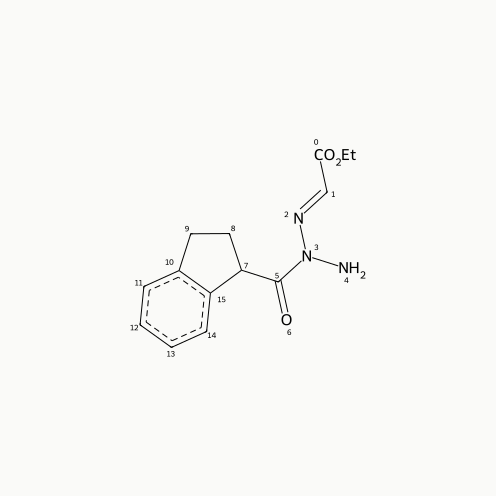 CCOC(=O)C=NN(N)C(=O)C1CCc2ccccc21